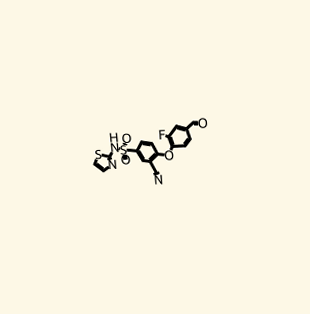 N#Cc1cc(S(=O)(=O)Nc2nccs2)ccc1Oc1ccc(C=O)cc1F